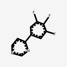 Fc1cc(-c2ccncn2)cc(F)c1F